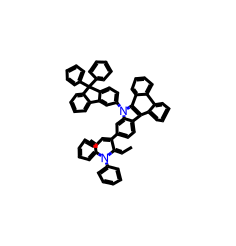 C=C/C=C(\C(=C/C)N(c1ccccc1)c1ccccc1)c1ccc2c3c4ccccc4c4ccccc4c3n(-c3ccc4c(c3)-c3ccccc3C4(c3ccccc3)c3ccccc3)c2c1